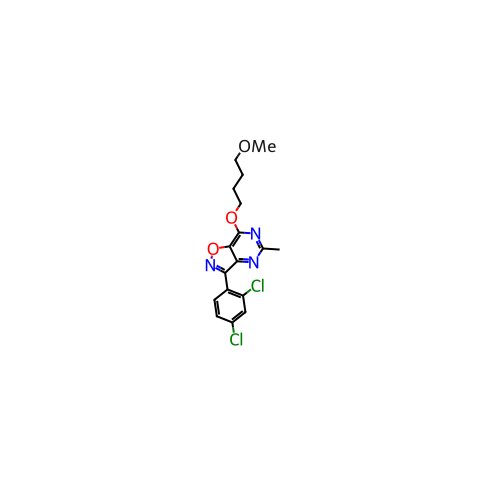 COCCCCOc1nc(C)nc2c(-c3ccc(Cl)cc3Cl)noc12